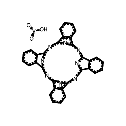 [O]=[V](=[O])[OH].c1ccc2c(c1)-c1nc-2nc2[nH]c(nc3nc(nc4[nH]c(n1)c1ccccc41)-c1ccccc1-3)c1ccccc21